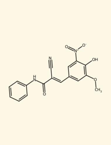 COc1cc(/C=C(\C#N)C(=O)Nc2ccccc2)cc([N+](=O)[O-])c1O